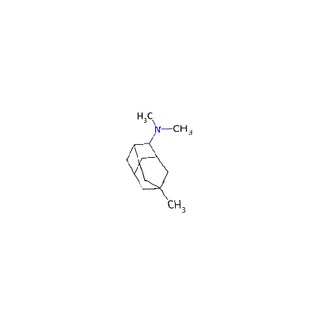 CN(C)C1C2CC3CC1CC(C)(C3)C2